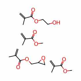 C=C(C)C(=O)OC.C=C(C)C(=O)OC.C=C(C)C(=O)OCC1CO1.C=C(C)C(=O)OCCO